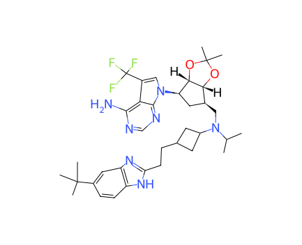 CC(C)N(C[C@H]1C[C@@H](n2cc(C(F)(F)F)c3c(N)ncnc32)[C@@H]2OC(C)(C)O[C@H]12)C1CC(CCc2nc3cc(C(C)(C)C)ccc3[nH]2)C1